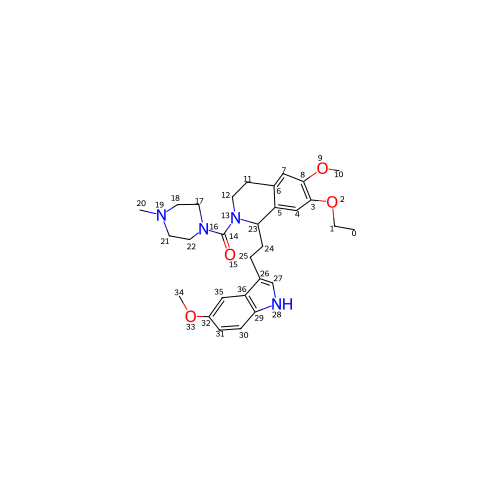 CCOc1cc2c(cc1OC)CCN(C(=O)N1CCN(C)CC1)C2CCc1c[nH]c2ccc(OC)cc12